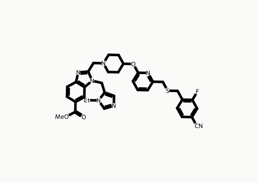 CCn1cncc1Cn1c(CN2CCC(Oc3cccc(CSCc4ccc(C#N)cc4F)n3)CC2)nc2ccc(C(=O)OC)cc21